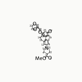 COC(=O)C1CCN(c2ccc3c(c2)CCn2c(OC[C@@H]4COCCO4)cc(=O)c(C)c2-3)CC1